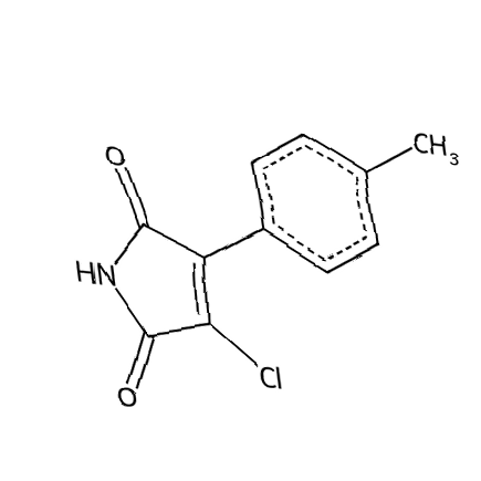 Cc1ccc(C2=C(Cl)C(=O)NC2=O)cc1